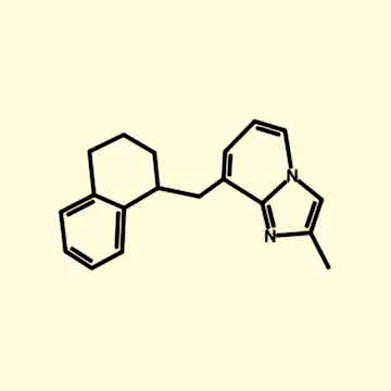 Cc1cn2cccc(CC3CCCc4ccccc43)c2n1